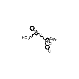 CC(C)Oc1cc(CCCOc2cc(CCC(=O)O)n(-c3ccccc3)n2)n(Cc2ccc(Cl)cc2Cl)n1